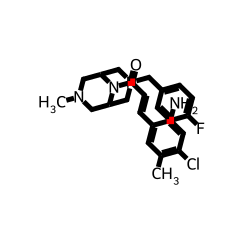 Cc1cc(/C=C/C(=O)N2C3CN(C)CC2CN(Cc2ccc(F)cc2)C3)c(N)cc1Cl